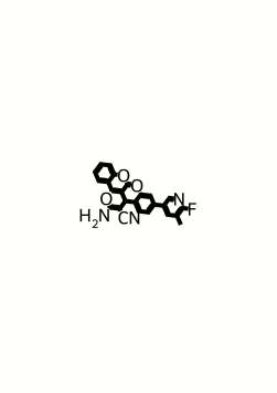 Cc1cc(-c2ccc(C3C(C#N)=C(N)Oc4c3c(=O)oc3ccccc43)cc2)cnc1F